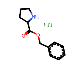 Cl.O=C(OCc1ccccc1)C1CCCN1